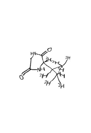 [2H]C([2H])([2H])C([2H])(C([2H])([2H])[2H])[C@]1([2H])NC(=O)CNC1=O